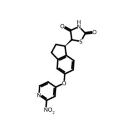 O=C1NC(=O)C([C@@H]2CCc3cc(Oc4ccnc([N+](=O)[O-])c4)ccc32)S1